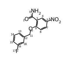 NC(=O)c1cc([N+](=O)[O-])ccc1OCc1cccc(F)c1